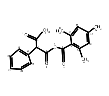 CC(=O)C(C(=O)OC(=O)c1c(C)cc(C)cc1C)c1ccccc1